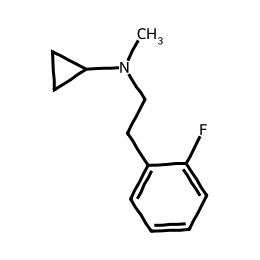 CN(CCc1ccccc1F)C1CC1